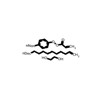 C=CC(=O)OOc1ccc(CCCCCCCCC)cc1.C=CCCCCCCCCCCCCCCCCCC.OCCO